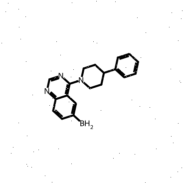 Bc1ccc2ncnc(N3CCC(c4ccccc4)CC3)c2c1